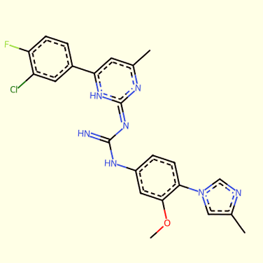 COc1cc(NC(=N)/N=c2/nc(C)cc(-c3ccc(F)c(Cl)c3)[nH]2)ccc1-n1cnc(C)c1